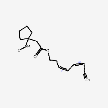 C#C/C=C\C=C/CCOC(=O)CC1(NCl)CCCC1